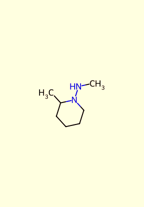 CNN1CCCCC1C